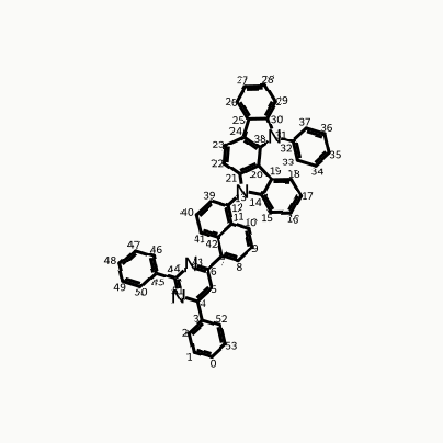 c1ccc(-c2cc(-c3cccc4c(-n5c6ccccc6c6c5ccc5c7ccccc7n(-c7ccccc7)c56)cccc34)nc(-c3ccccc3)n2)cc1